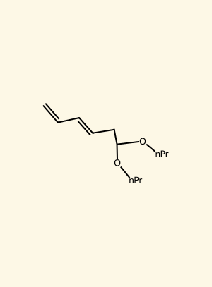 C=C/C=C/CC(OCCC)OCCC